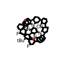 CC(C)(C)c1ccc(-c2c(-n3c4ccccc4c4cc(F)ccc43)c(-n3c4ccccc4c4ccc5c6ccccc6sc5c43)c(C#N)c(-n3c4ccccc4c4ccc5c6ccccc6sc5c43)c2-n2c3ccccc3c3cc(F)ccc32)c(C(C)(C)C)c1